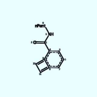 CCCCCNC(=O)c1cccc2c1=CC=2